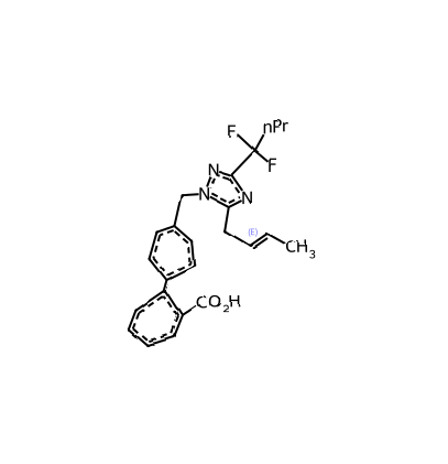 C/C=C/Cc1nc(C(F)(F)CCC)nn1Cc1ccc(-c2ccccc2C(=O)O)cc1